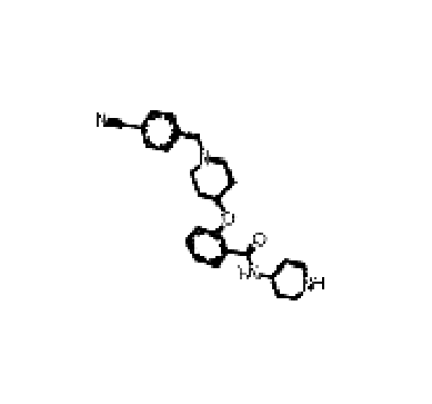 N#Cc1ccc(CN2CCC(Oc3ccccc3C(=O)NC3CCNCC3)CC2)cc1